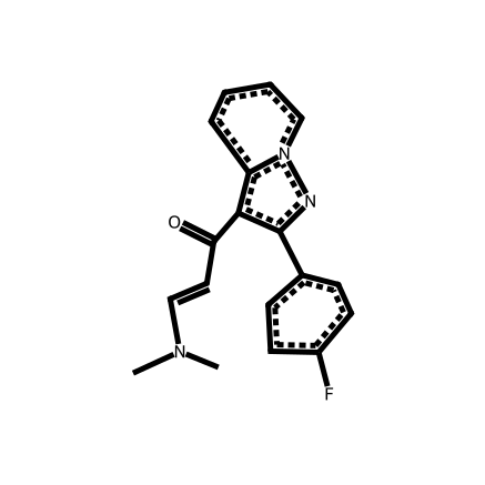 CN(C)C=CC(=O)c1c(-c2ccc(F)cc2)nn2ccccc12